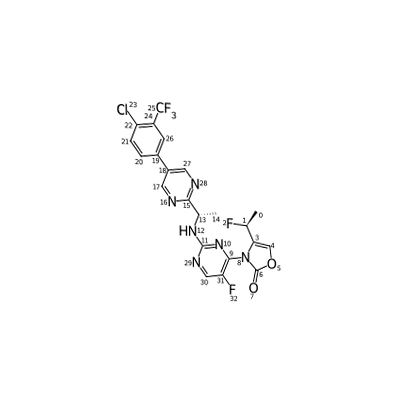 C[C@H](F)c1coc(=O)n1-c1nc(N[C@@H](C)c2ncc(-c3ccc(Cl)c(C(F)(F)F)c3)cn2)ncc1F